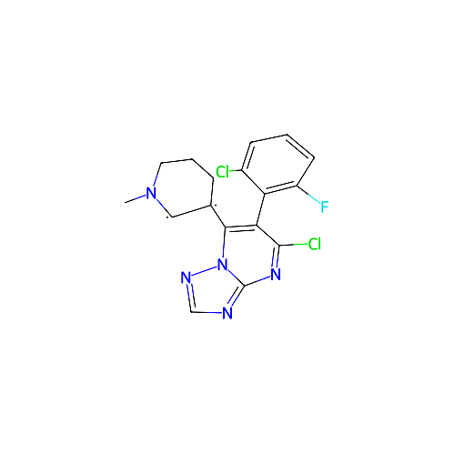 CN1[CH][C](c2c(-c3c(F)cccc3Cl)c(Cl)nc3ncnn23)CCC1